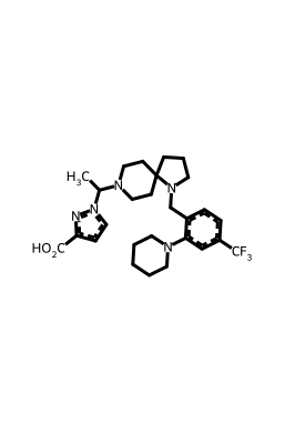 CC(N1CCC2(CCCN2Cc2ccc(C(F)(F)F)cc2N2CCCCC2)CC1)n1ccc(C(=O)O)n1